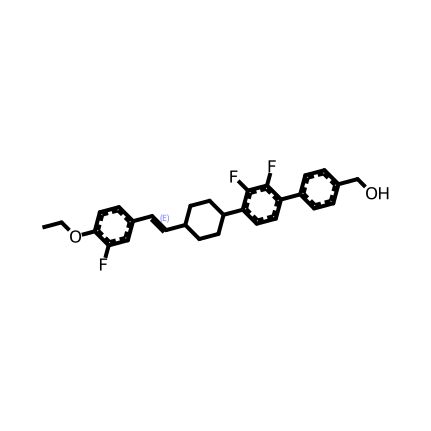 CCOc1ccc(/C=C/C2CCC(c3ccc(-c4ccc(CO)cc4)c(F)c3F)CC2)cc1F